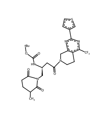 CC1CCC(=O)N(C[C@H](CC(=O)N2CCc3c(nc(-c4ccsc4)nc3C(F)(F)F)C2)NC(=O)OC(C)(C)C)C1=O